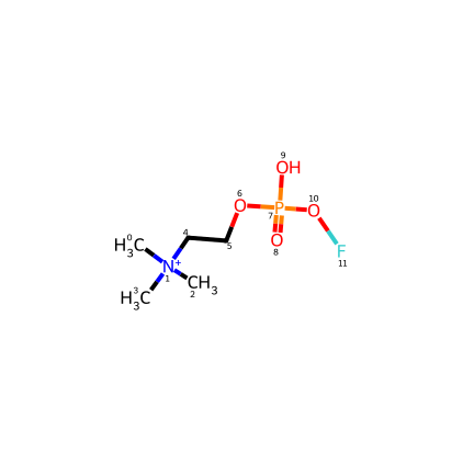 C[N+](C)(C)CCOP(=O)(O)OF